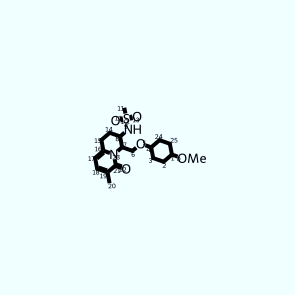 COC1CCC(OCC2C(NS(C)(=O)=O)CCc3ccc(C)c(=O)n32)CC1